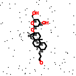 C[C@H]1C[C@@]23CC[C@]4(C)[C@@H](CCC=O)CCC[C@@]4(C)C2(C)CC[C@]1(O[C@H]1C[C@@H](O)C[C@@H](CO)O1)C3